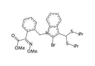 CON=C(C(=O)OC)c1ccccc1Cn1c(Br)c(C(SC(C)C)SC(C)C)c2ccccc21